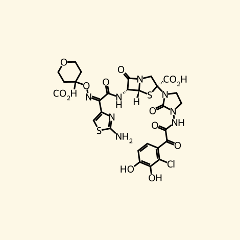 Nc1nc(/C(=N/OC2(C(=O)O)CCOCC2)C(=O)N[C@@H]2C(=O)N3C[C@@](C(=O)O)(N4CCN(NC(=O)C(=O)c5ccc(O)c(O)c5Cl)C4=O)S[C@H]23)cs1